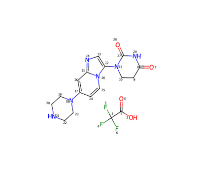 O=C(O)C(F)(F)F.O=C1CCN(c2cnc3cc(N4CCNCC4)ccn23)C(=O)N1